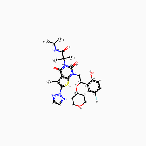 Cc1c(-n2nccn2)sc2c1c(=O)n(C(C)(C)C(=O)NC(C)C)c(=O)n2C[C@H](OC1CCOCC1)c1cc(F)ccc1O